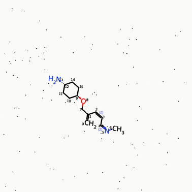 C=C(/C=C\C=N/C)CO[C@H]1CC[C@H](N)CC1